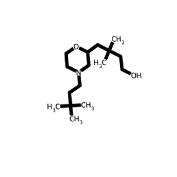 CC(C)(C)CCN1CCOC(CC(C)(C)CCO)C1